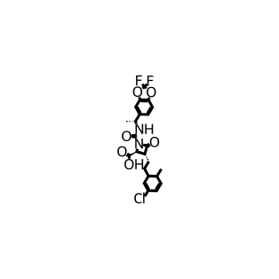 CC1C=CC(Cl)=CC1CC[C@H]1C(=O)N(C(=O)N[C@H](C)c2ccc3c(c2)OC(F)(F)O3)[C@@H]1C(=O)O